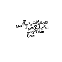 CON=C[C@@H](F)[C@H](OC(=O)OC)[C@@H](COC(=O)OC)OS(=O)(=O)c1cc(Cl)c(Cl)cc1Cl